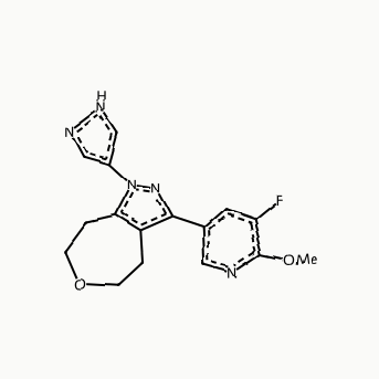 COc1ncc(-c2nn(-c3cn[nH]c3)c3c2CCOCC3)cc1F